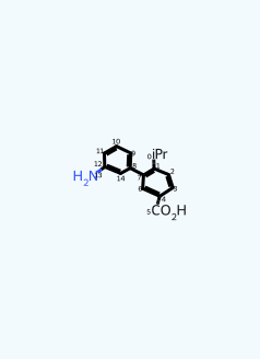 CC(C)c1ccc(C(=O)O)cc1-c1cccc(N)c1